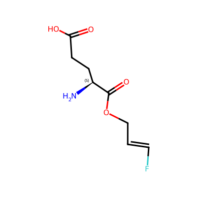 N[C@@H](CCC(=O)O)C(=O)OCC=CF